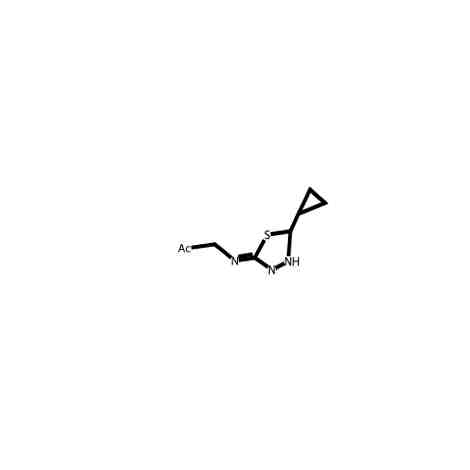 CC(=O)CN=C1[N]NC(C2CC2)S1